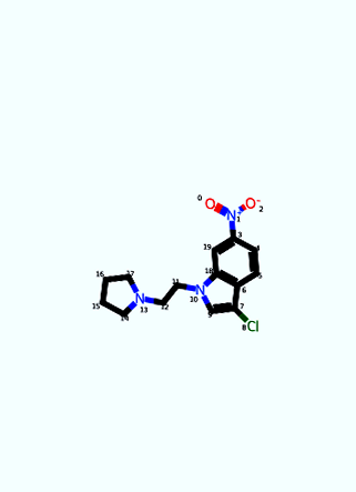 O=[N+]([O-])c1ccc2c(Cl)cn(CCN3CCCC3)c2c1